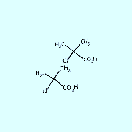 CC(C)(Cl)C(=O)O.CC(C)(Cl)C(=O)O